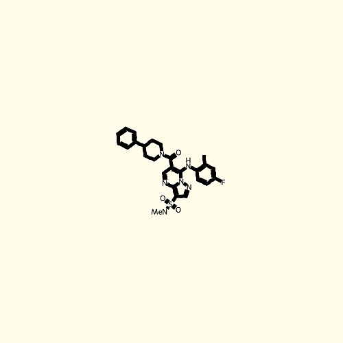 CNS(=O)(=O)c1cnn2c(Nc3ccc(F)cc3C)c(C(=O)N3CCC(c4ccccc4)CC3)cnc12